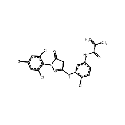 C=C(C)C(=O)Nc1ccc(Cl)c(NC2=NN(c3c(Cl)cc(Cl)cc3Cl)C(=O)C2)c1